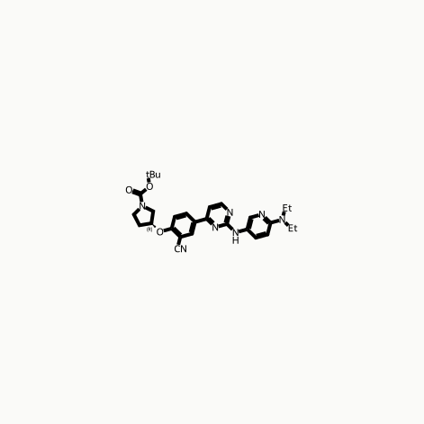 CCN(CC)c1ccc(Nc2nccc(-c3ccc(O[C@@H]4CCN(C(=O)OC(C)(C)C)C4)c(C#N)c3)n2)cn1